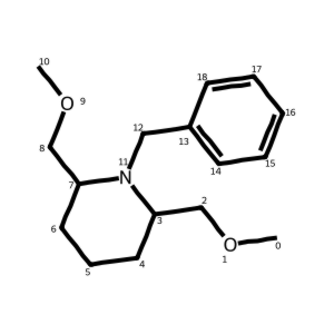 COCC1CCCC(COC)N1Cc1ccccc1